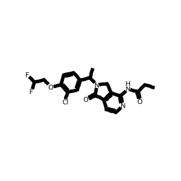 CCC(=O)Nc1nccc2c1CN(C(C)c1ccc(OCC(F)F)c(Cl)c1)C2=O